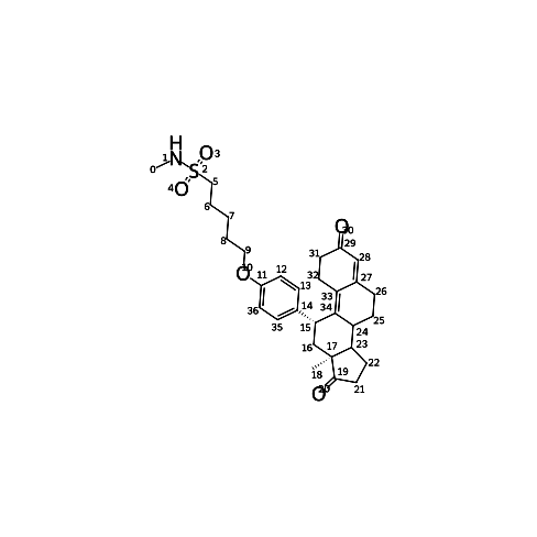 CNS(=O)(=O)CCCCCOc1ccc([C@H]2C[C@]3(C)C(=O)CCC3C3CCC4=CC(=O)CCC4=C32)cc1